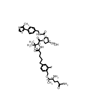 Cc1ncsc1-c1ccc(CNC(=O)[C@@H]2C[C@@H](O)CN2C(=O)[C@@H](NC(=O)CCCCc2ccc(CO[C@H](C)[C@@H](N)CCC(N)=O)c(F)c2)C(C)(C)C)cc1.Cl